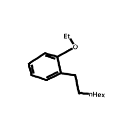 CCCCCC[CH]Cc1ccccc1OCC